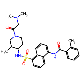 Cc1ccccc1C(=O)Nc1cccc2c(S(=O)(=O)NC3CCN(C(=O)CN(C)C)CC3C)cccc12